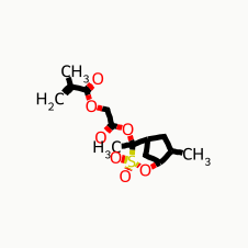 C=C(C)C(=O)OCC(=O)OC1(C)C2CC(C)C(C2)OS1(=O)=O